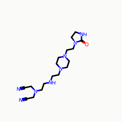 N#CCN(CC#N)CCNCCN1CCN(CCN2CCNC2=O)CC1